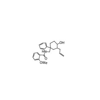 C=CCC1CC(CNC(=O)c2ccccc2OC)(c2ccccc2)CCC1O